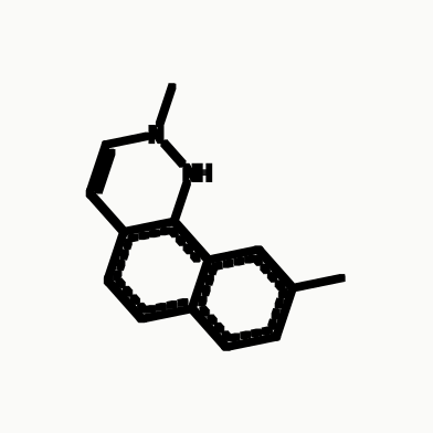 Cc1ccc2ccc3c(c2c1)NN(C)C=C3